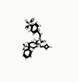 CN(C)[C@]1(c2ccccc2)CC[C@@]2(CC1)CN(Cc1ccc(S(C)(=O)=O)cc1)C(=O)N2CC1CCC1